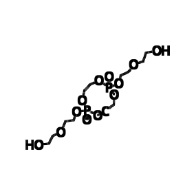 O=P1(OCCOCCO)OCCOP(=O)(OCCOCCO)OCCO1